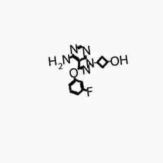 Nc1ncnc2c1c(Oc1cccc(F)c1)nn2[C@H]1C[C@@H](O)C1